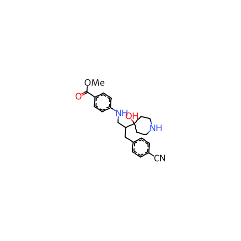 COC(=O)c1ccc(NCC(Cc2ccc(C#N)cc2)C2(O)CCNCC2)cc1